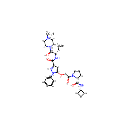 COC[C@H](NC(=O)c1cc(OCC(=O)N2CCC[C@H]2C(=O)NC2CCC2)n(-c2ccccc2)n1)C(=O)N1CCN(C(=O)O)CC1